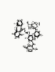 CCC(=O)NC(CO)c1ccccc1.CCOC(Cc1ccc(OCCN2c3ccccc3Oc3ccccc32)cc1)C(=O)O